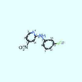 O=[N+]([O-])c1ccnc(Nc2cccc(F)c2)c1